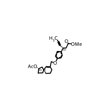 CC#C[C@@H](CC(=O)OC)c1ccc(OCC2=C[C@]3(CCC2)CC[C@H](OC(C)=O)C3)cc1